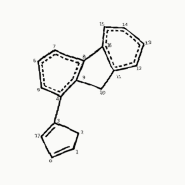 C1=CCC(c2cccc3c2Cc2ccccc2-3)=C1